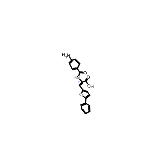 Nc1ccc(C(=O)N/C(=C/c2ccc(-c3ccccc3)o2)C(=O)O)cc1